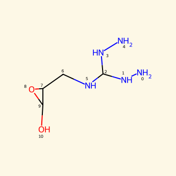 NNC(NN)NCC1OC1O